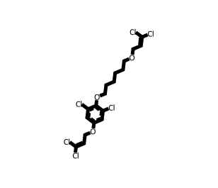 ClC(Cl)=CCOCCCCCCOc1c(Cl)cc(OCC=C(Cl)Cl)cc1Cl